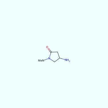 CNN1CC(N)CC1=O